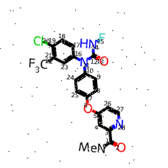 CNC(=O)c1cc(Oc2ccc(N(C(=O)NF)c3ccc(Cl)c(C(F)(F)F)c3)cc2)ccn1